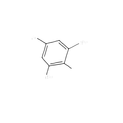 Cc1c(C(C)(C)C)cc(Br)cc1C(C)(C)C